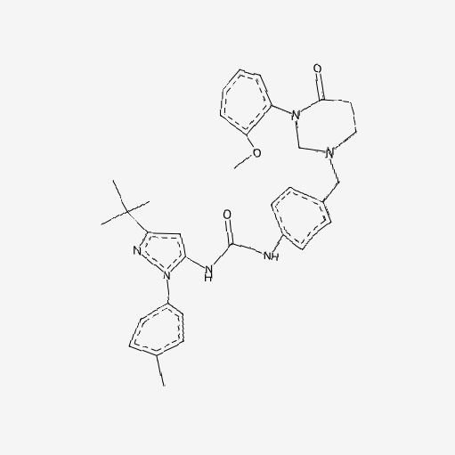 COc1ccccc1N1CN(Cc2ccc(NC(=O)Nc3cc(C(C)(C)C)nn3-c3ccc(C)cc3)cc2)CCC1=O